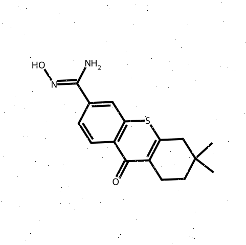 CC1(C)CCc2c(sc3cc(/C(N)=N/O)ccc3c2=O)C1